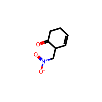 O=C1CCC=CC1C[N+](=O)[O-]